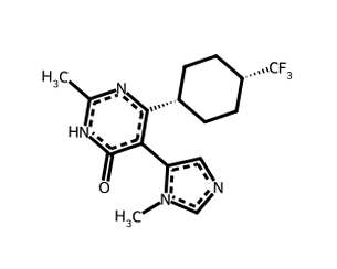 Cc1nc([C@H]2CC[C@@H](C(F)(F)F)CC2)c(-c2cncn2C)c(=O)[nH]1